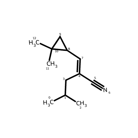 CC(C)C/C(C#N)=C\C1CC1(C)C